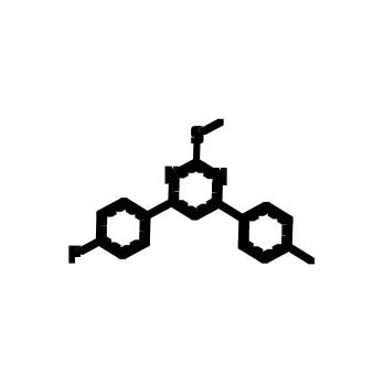 CSc1nc(-c2ccc(C)cc2)cc(-c2ccc(F)cc2)n1